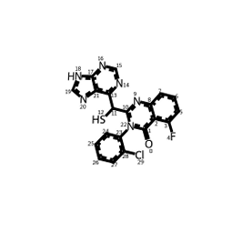 O=c1c2c(F)cccc2nc(C(S)c2ncnc3[nH]cnc23)n1-c1ccccc1Cl